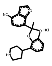 CC1(c2ccc(C#N)c3ccoc23)Oc2cccc(C3CCNCC3)c2O1.Cl